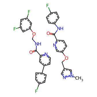 Cn1cc(COc2ccc(C(=O)Nc3ccc(F)cc3)nc2)cn1.O=C(NCOc1cc(F)cc(F)c1)c1cc(-c2ccc(F)cc2)ccn1